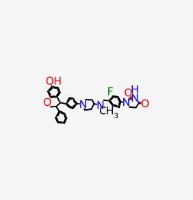 CN(Cc1ccc(N2CCC(=O)NC2=O)cc1F)C1CCN(c2ccc(C3c4ccc(O)cc4OCC3c3ccccc3)cc2)CC1